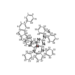 c1ccc(-c2ccc3sc4ccc(-c5cccc(-n6c7ccccc7c7ccc8c9ccccc9n(-c9nc(-c%10ccccc%10)nc(N%10c%11ccccc%11Sc%11ccccc%11%10)n9)c8c76)c5)cc4c3c2)cc1